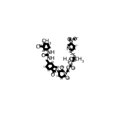 Cc1ccc(NC(=O)NCc2ccc3c(c2)CN(C2CCC(=O)N(COC(=O)OCC(C)(C)SSc4ccc([N+](=O)[O-])cn4)C2=O)C3=O)cc1Cl